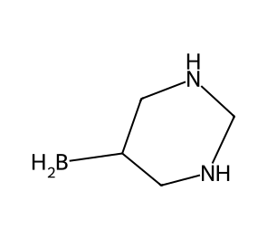 BC1CNCNC1